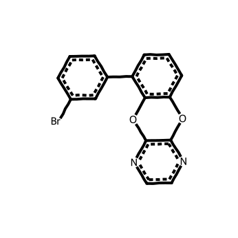 Brc1cccc(-c2cccc3c2Oc2nccnc2O3)c1